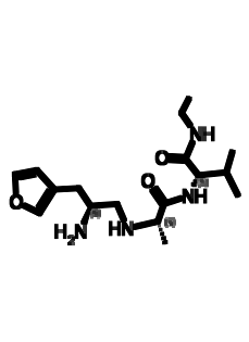 CCNC(=O)[C@@H](NC(=O)[C@H](C)NC[C@@H](N)Cc1ccoc1)C(C)C